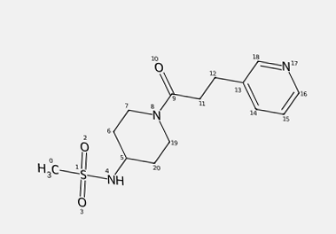 CS(=O)(=O)NC1CCN(C(=O)CCc2cccnc2)CC1